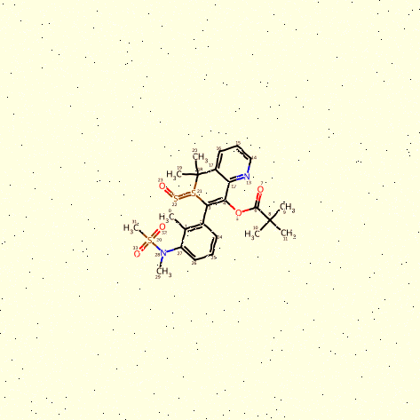 Cc1c(C2=C(OC(=O)C(C)(C)C)c3ncccc3C(C)(C)S2=S=O)cccc1N(C)S(C)(=O)=O